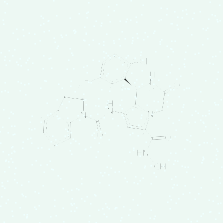 CNC(=O)c1cc(NC(=O)N2CCc3ccccc32)c2n1CC(=O)N[C@@H]2c1cc(F)ccc1Cl